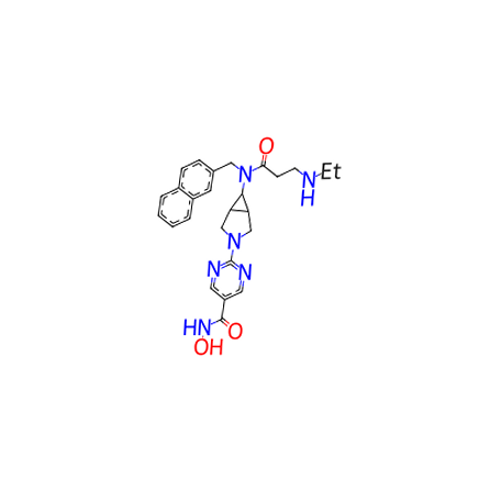 CCNCCC(=O)N(Cc1ccc2ccccc2c1)C1C2CN(c3ncc(C(=O)NO)cn3)CC21